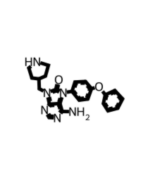 Nc1ncnc2c1n(-c1ccc(Oc3ccccc3)cc1)c(=O)n2CC1CCNCC1